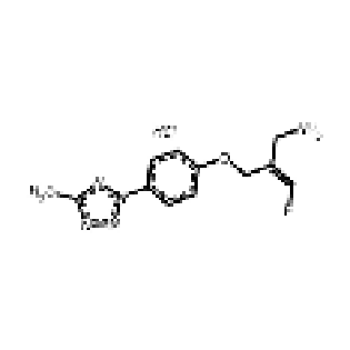 Cc1nnn(-c2ccc(OC/C(=C\F)CN)cc2)n1.Cl